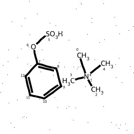 C[N+](C)(C)C.O=S(=O)(O)Oc1ccccc1